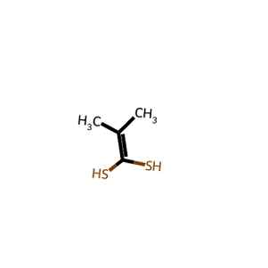 CC(C)=C(S)S